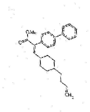 C=CCCC1CCC(C=C(C(=O)OC)c2ccc(-c3ccccc3)cc2)CC1